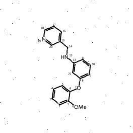 COc1ccccc1Oc1cccc(NCc2cccnc2)c1